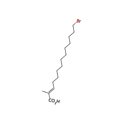 C/C(=C\CCCCCCCCCCCBr)C(=O)O